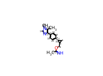 CC(=N)OCC1C[C@@H]1c1ccc(-c2ncn(C)c2C)cc1